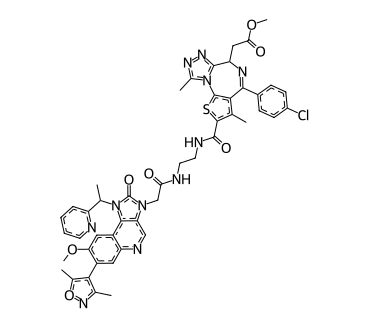 COC(=O)CC1N=C(c2ccc(Cl)cc2)c2c(sc(C(=O)NCCNC(=O)Cn3c(=O)n(C(C)c4ccccn4)c4c5cc(OC)c(-c6c(C)noc6C)cc5ncc43)c2C)-n2c(C)nnc21